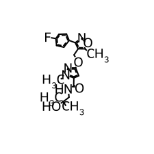 Cc1onc(-c2ccc(F)cc2)c1COc1cc(C(=O)NCC(C)(C)O)n(C)n1